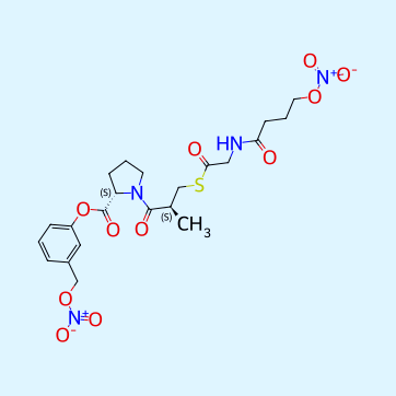 C[C@H](CSC(=O)CNC(=O)CCCO[N+](=O)[O-])C(=O)N1CCC[C@H]1C(=O)Oc1cccc(CO[N+](=O)[O-])c1